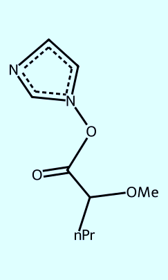 CCCC(OC)C(=O)On1ccnc1